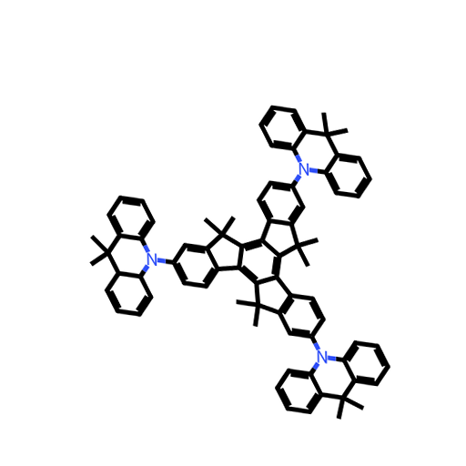 CC1(C)c2ccccc2N(c2ccc3c(c2)C(C)(C)c2c-3c3c(c4c2-c2ccc(N5c6ccccc6C(C)(C)C6C=CC=CC65)cc2C4(C)C)-c2ccc(N4c5ccccc5C(C)(C)c5ccccc54)cc2C3(C)C)c2ccccc21